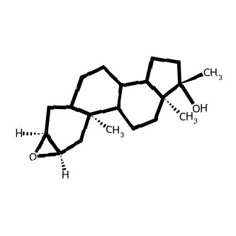 C[C@]12C[C@H]3O[C@H]3CC1CCC1C2CC[C@@]2(C)C1CC[C@]2(C)O